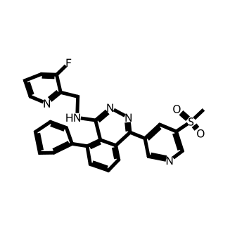 CS(=O)(=O)c1cncc(-c2nnc(NCc3ncccc3F)c3c(-c4ccccc4)cccc23)c1